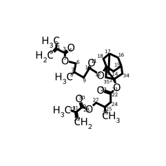 C=C(C)C(=O)OCC(C)CC(=O)OC12CC3CC(C1)CC(OC(=O)CC(C)COC(=O)C(=C)C)(C3)C2